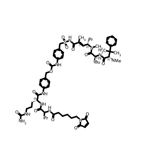 CN[C@H](C(=O)N[C@H](C(=O)N(C)[C@H](/C=C(\C)C(=O)NS(=O)(=O)Cc1ccc(NC(=O)OCc2ccc(NC(=O)[C@@H](CCCNC(N)=O)NC(=O)C(NC(=O)CCCCCN3C(=O)C=CC3=O)C(C)C)cc2)cc1)C(C)C)C(C)(C)C)C(C)(C)c1ccccc1